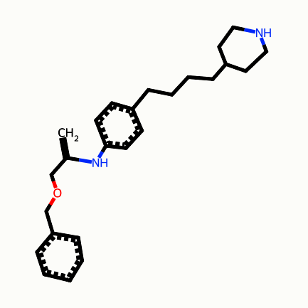 C=C(COCc1ccccc1)Nc1ccc(CCCCC2CCNCC2)cc1